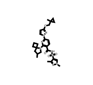 Cc1nn(C)cc1S(=O)(=O)NC(=O)c1ccc(-n2ccc(OCC3(C)CC3)n2)nc1N1CC(C)CC12CCC2